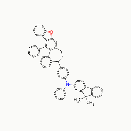 CC1(C)c2ccccc2-c2ccc(N(c3ccccc3)c3ccc(C4CCc5cc6oc7ccccc7c6c(-c6ccccc6)c5-c5ccccc54)cc3)cc21